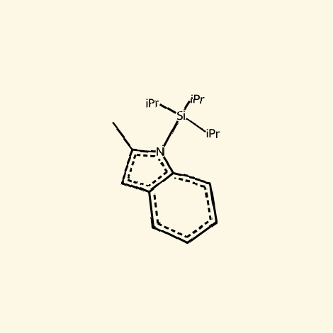 Cc1cc2ccccc2n1[Si](C(C)C)(C(C)C)C(C)C